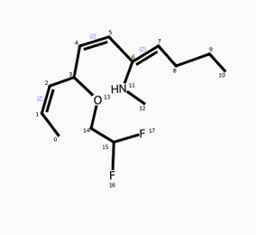 C/C=C\C(/C=C\C(=C\CCC)NC)OCC(F)F